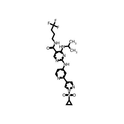 CC(C)Nc1nc(Nc2ccnc(-c3cnn(S(=O)(=O)C4CC4)c3)c2)ncc1C(=O)NCCCC(F)(F)F